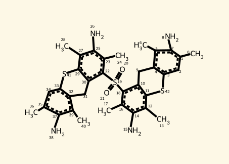 Cc1cc2c(c(C)c1N)Cc1c(c(C)c(N)c(C)c1S(=O)(=O)c1c(C)c(N)c(C)c3c1Cc1c(cc(C)c(N)c1C)S3)S2